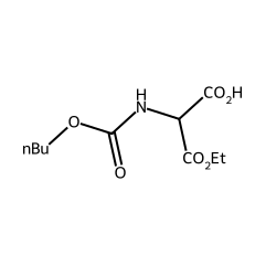 CCCCOC(=O)NC(C(=O)O)C(=O)OCC